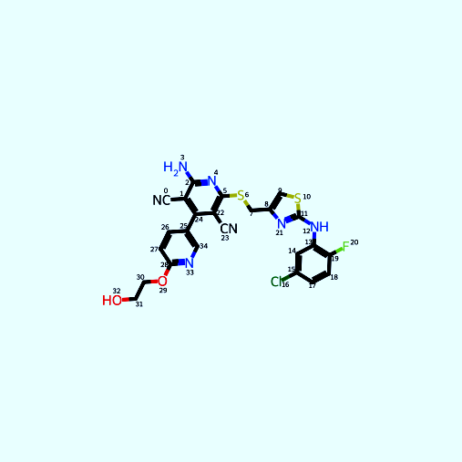 N#Cc1c(N)nc(SCc2csc(Nc3cc(Cl)ccc3F)n2)c(C#N)c1-c1ccc(OCCO)nc1